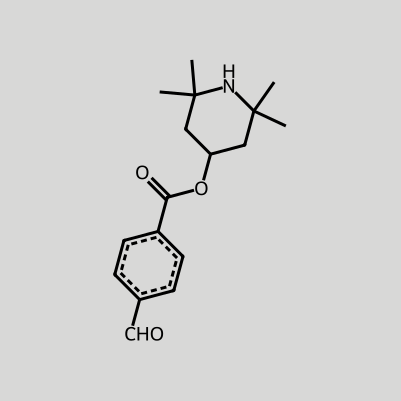 CC1(C)CC(OC(=O)c2ccc(C=O)cc2)CC(C)(C)N1